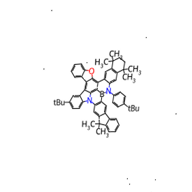 CC(C)(C)c1ccc(N2B3c4cc5c(cc4-n4c6ccc(C(C)(C)C)cc6c6c7c(oc8ccccc87)c(c3c64)-c3cc4c(cc32)C(C)(C)CCC4(C)C)C(C)(C)c2ccccc2-5)cc1